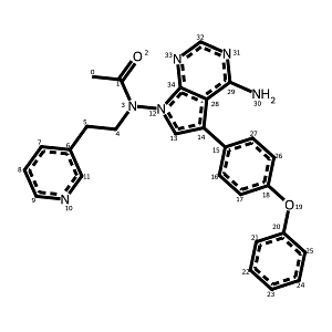 CC(=O)N(CCc1cccnc1)n1cc(-c2ccc(Oc3ccccc3)cc2)c2c(N)ncnc21